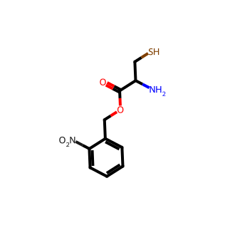 NC(CS)C(=O)OCc1ccccc1[N+](=O)[O-]